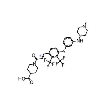 CN1CCC(Nc2cccc(Sc3ccc(/C=C/C(=O)N4CCC(C(=O)O)CC4)c(C(F)(F)F)c3C(F)(F)F)c2)CC1